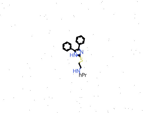 CCCNCCSc1nc(-c2ccccc2)c(-c2ccccc2)[nH]1